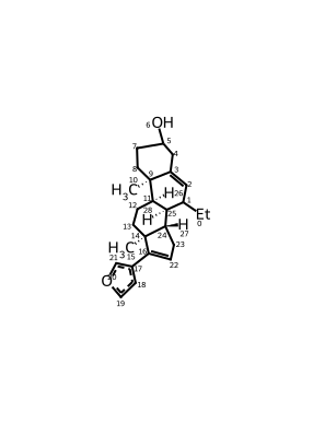 CCC1C=C2CC(O)CC[C@]2(C)[C@@H]2CC[C@]3(C)C(c4ccoc4)=CC[C@H]3[C@H]12